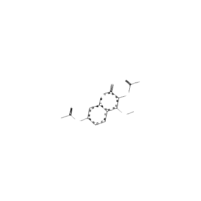 COc1c(OC(C)=O)c(=O)oc2cc(OC(C)=O)ccc12